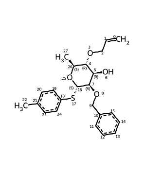 C=CCO[C@@H]1[C@@H](O)[C@@H](OCc2ccccc2)[C@H](Sc2ccc(C)cc2)O[C@H]1C